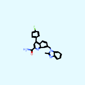 Cc1nc2ccccc2n1Cc1ccc2c(-c3ccc(F)cc3)cc(C(N)=O)nc2c1